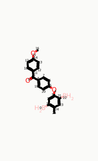 Bc1cc(Oc2ccc(C(=O)c3ccc(OC)cc3)cc2)c(B)cc1C